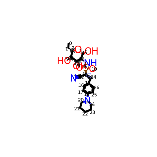 CC[C@H]1OC(O)[C@H](NS(=O)(=O)/C(C#N)=C/c2ccc(N3CCCCC3)cc2)[C@@H](O)[C@@H]1O